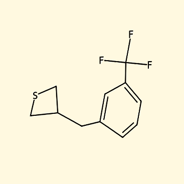 FC(F)(F)c1cccc(CC2CSC2)c1